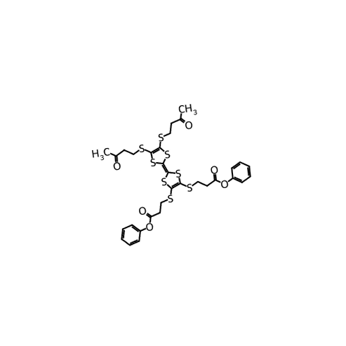 CC(=O)CCSC1=C(SCCC(C)=O)SC(=C2SC(SCCC(=O)Oc3ccccc3)=C(SCCC(=O)Oc3ccccc3)S2)S1